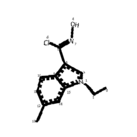 CCn1cc(/C(Cl)=N/O)c2ccc(C)cc21